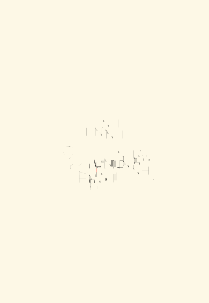 CC(=O)NC(CCCNC(=N)N)C(=O)NC(NC(Cc1ccc(C(=O)c2ccccc2)cc1)(NI)C(=O)I)(C(=O)I)C(I)CCNC(=N)N